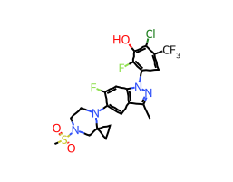 Cc1nn(-c2cc(C(F)(F)F)c(Cl)c(O)c2F)c2cc(F)c(N3CCN(S(C)(=O)=O)CC34CC4)cc12